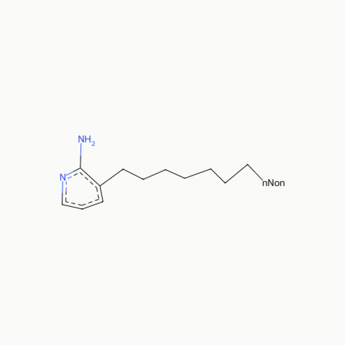 CCCCCCCCCCCCCCCCc1cccnc1N